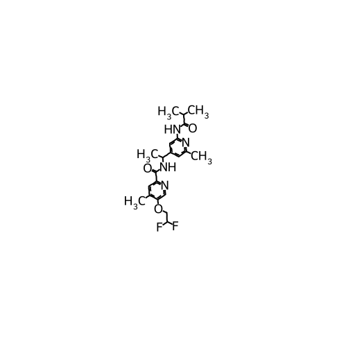 Cc1cc(C(C)NC(=O)c2cc(C)c(OCC(F)F)cn2)cc(NC(=O)C(C)C)n1